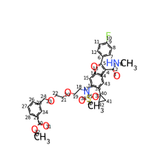 CNC(=O)c1c(-c2ccc(F)cc2)oc2cc(N(CCOCCOCc3cccc(C(=O)OC)c3)S(C)(=O)=O)c(C3CC3)cc12